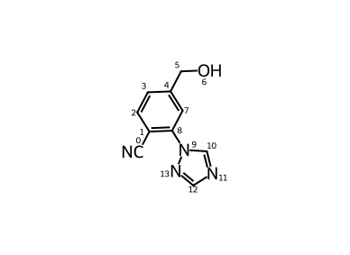 N#Cc1ccc(CO)cc1-n1cncn1